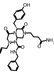 C=CCN1CC(=O)N2C(CN(CCCC(N)=O)C(=O)[C@@H]2Cc2ccc(O)cc2)N1C(=O)NCc1ccccc1